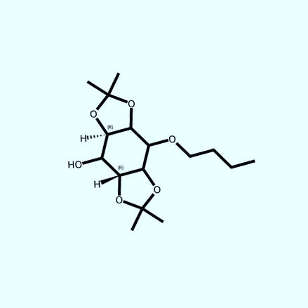 CCCCOC1C2OC(C)(C)O[C@@H]2C(O)[C@H]2OC(C)(C)OC12